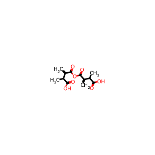 C=C(C(=O)OC(=O)C(=C)C(C)C(=O)O)C(C)C(=O)O